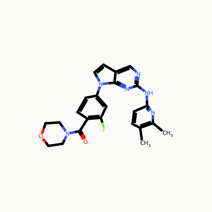 Cc1ccc(Nc2ncc3ccn(-c4ccc(C(=O)N5CCOCC5)c(F)c4)c3n2)nc1C